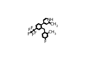 C=C1C=C(c2ccc(C(F)(F)C(F)(F)F)cc2Cc2ccc(F)cc2C)C=CN1